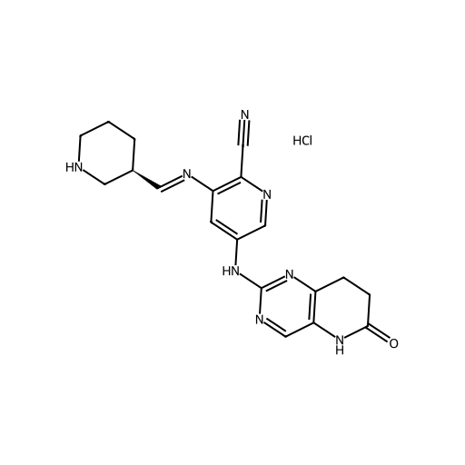 Cl.N#Cc1ncc(Nc2ncc3c(n2)CCC(=O)N3)cc1N=C[C@@H]1CCCNC1